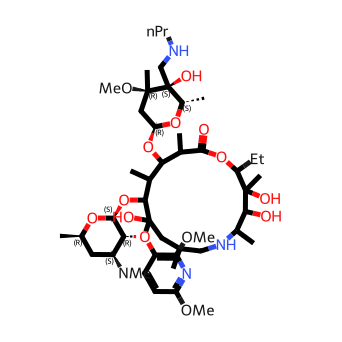 CCCNC[C@]1(O)[C@H](C)O[C@@H](OC2C(C)C(=O)OC(CC)C(C)(O)C(O)C(C)NCC(C)CC(C)(O)C(O[C@@H]3O[C@H](C)C[C@H](NC)[C@H]3Oc3ccc(OC)nc3OC)C2C)C[C@@]1(C)OC